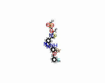 CCC(OCCS(=O)(=O)CC)c1nc(-c2ccc3ncnc(Nc4ccc(OCc5cccc(F)c5)c(Br)c4)c3c2)cs1